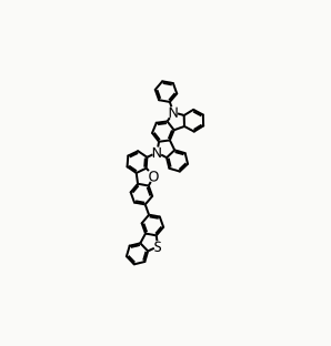 C1=CC2c3c(ccc4c3c3ccccc3n4-c3cccc4c3oc3cc(-c5ccc6sc7ccccc7c6c5)ccc34)N(c3ccccc3)C2C=C1